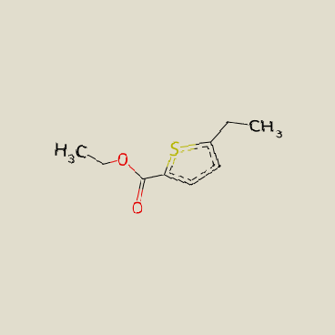 CCOC(=O)c1ccc(CC)s1